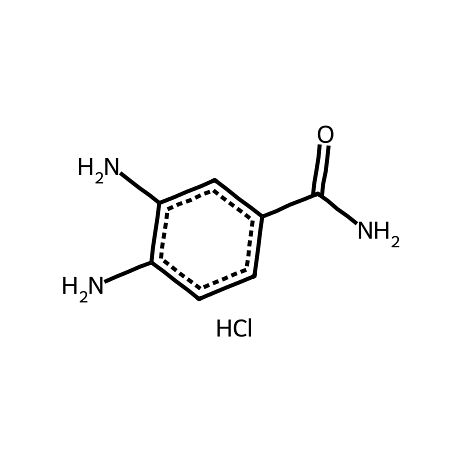 Cl.NC(=O)c1ccc(N)c(N)c1